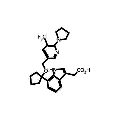 O=C(O)Cc1c[nH]c2c(C3(OCc4cnc(N5CCCC5)c(C(F)(F)F)c4)CCCC3)cccc12